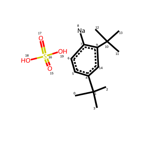 CC(C)(C)c1cc[c]([Na])c(C(C)(C)C)c1.O=S(=O)(O)O